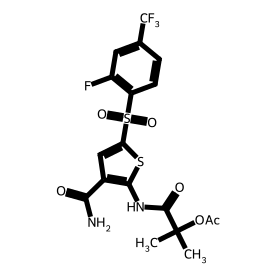 CC(=O)OC(C)(C)C(=O)Nc1sc(S(=O)(=O)c2ccc(C(F)(F)F)cc2F)cc1C(N)=O